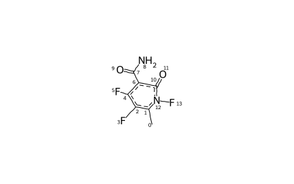 Cc1c(F)c(F)c(C(N)=O)c(=O)n1F